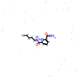 NC(=O)C1=CC=CC(C(=O)NCCCCI)N1